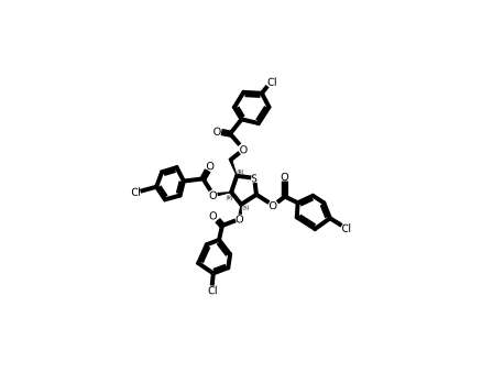 O=C(OC[C@H]1SC(OC(=O)c2ccc(Cl)cc2)[C@@H](OC(=O)c2ccc(Cl)cc2)[C@H]1OC(=O)c1ccc(Cl)cc1)c1ccc(Cl)cc1